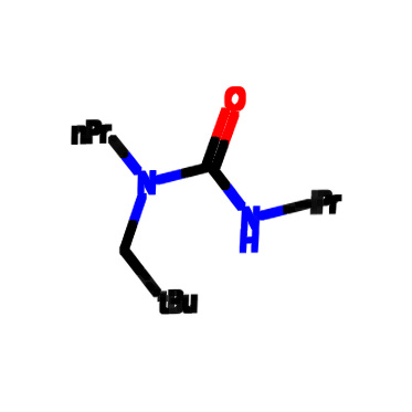 CCCN(CC(C)(C)C)C(=O)NC(C)C